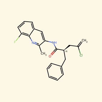 C=C(Cl)C[C@@H](Cc1ccccc1)C(=O)Nc1cc2cccc(F)c2nc1C